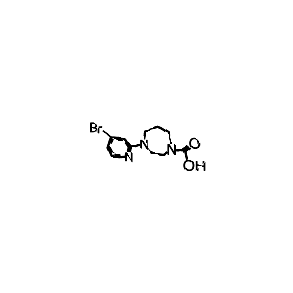 O=C(O)N1CCCN(c2cc(Br)ccn2)CC1